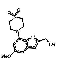 COc1cc(N2CCS(=O)(=O)CC2)c2oc(CO)cc2c1